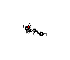 OC(Cn1cncn1)(Cn1ccc(/C=C/c2ccc(Cl)cc2)c1Cl)c1ccc(F)cc1F